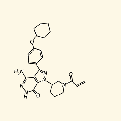 C=CC(=O)N1CCCC(n2nc(-c3ccc(OC4CCCCC4)cc3)c3c(N)n[nH]c(=O)c32)C1